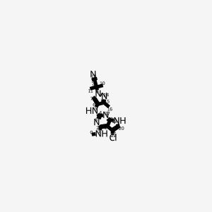 CNc1nc(Nc2cn(C(C)(C)C#N)nc2C)nc2[nH]cc(Cl)c12